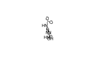 O=C(NO)c1cnc(N2CC3C(C2)C3NCCC(c2ccccc2)c2ccccc2)nc1